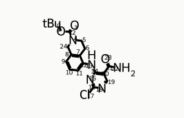 CC(C)(C)OC(=O)N1CCc2c(cccc2Nc2nc(Cl)ncc2C(N)=O)C1